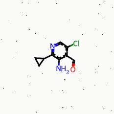 Nc1c(C2CC2)ncc(Cl)c1C=O